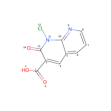 O=C(O)c1cc2cccnc2n(Cl)c1=O